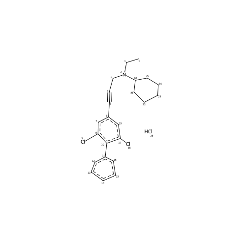 CCN(CC#Cc1cc(Cl)c(-c2ccccc2)c(Cl)c1)C1CCCCC1.Cl